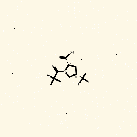 CC(C)(C)C(=O)N1C[C@@H](C(F)(F)F)C[C@H]1C(=O)O